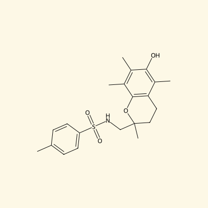 Cc1ccc(S(=O)(=O)NCC2(C)CCc3c(C)c(O)c(C)c(C)c3O2)cc1